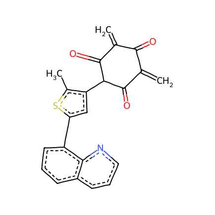 C=C1C(=O)C(=C)C(=O)C(c2cc(-c3cccc4cccnc34)sc2C)C1=O